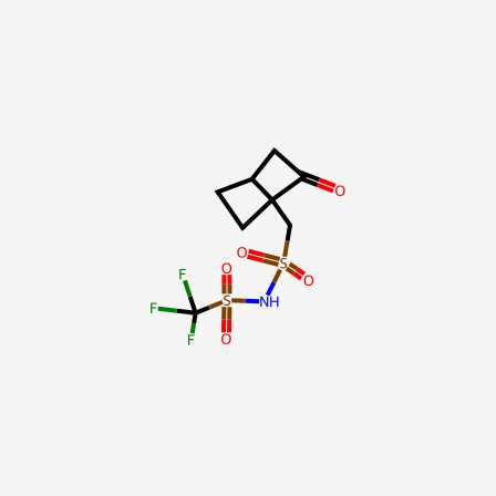 O=C1CC2CCC12CS(=O)(=O)NS(=O)(=O)C(F)(F)F